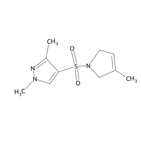 CC1=CCN(S(=O)(=O)c2cn(C)nc2C)C1